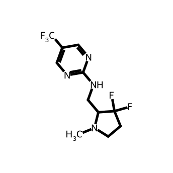 CN1CCC(F)(F)C1CNc1ncc(C(F)(F)F)cn1